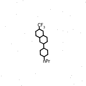 CCCC1CCC(C2CCC3CC(C(F)(F)F)CCC3C2)CC1